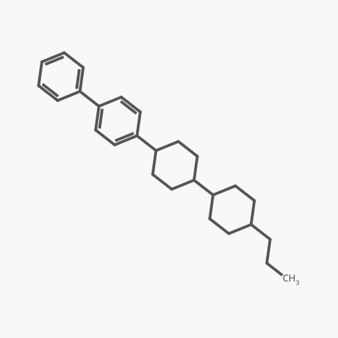 CCCC1CCC(C2CCC(c3ccc(-c4ccccc4)cc3)CC2)CC1